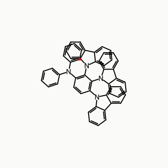 c1ccc(N(c2ccccc2)c2ccc(-n3c4ccccc4c4ccccc43)c(-n3c4ccccc4c4ccccc43)c2-n2c3ccccc3c3ccccc32)cc1